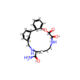 NC(=O)C1CCCNC(=O)C(=O)Oc2ccccc2-c2cccc(c2)CN1